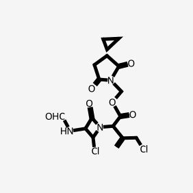 C1CC1.C=C(CCl)C(C(=O)OCN1C(=O)CCC1=O)N1C(=O)C(NC=O)C1Cl